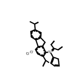 CC[C](CC)=[Ti+2]([C]1=CC=CC1)[c]1c(C(C)C)ccc2c1Cc1cc(C(C)C)ccc1-2.[Cl-].[Cl-]